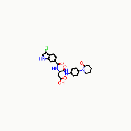 O=C(O)CC(NC(=O)c1ccc2c(Cl)c[nH]c2c1)C(=O)Nc1ccc(N2CCCCC2=O)cc1